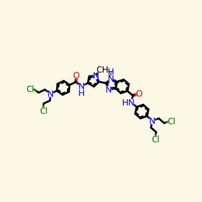 Cn1cc(NC(=O)c2ccc(N(CCCl)CCCl)cc2)cc1-c1nc2cc(C(=O)Nc3ccc(N(CCCl)CCCl)cc3)ccc2[nH]1